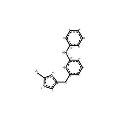 Clc1ncc(Cc2cccc(Nc3ccccc3)n2)s1